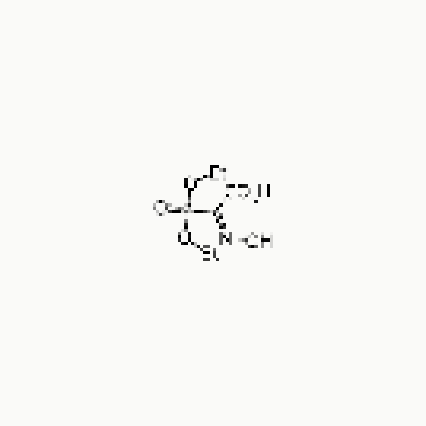 CCOP(=O)(OCC)C(=NO)C(=O)O